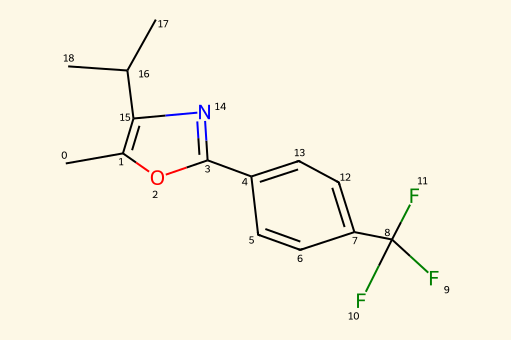 Cc1oc(-c2ccc(C(F)(F)F)cc2)nc1C(C)C